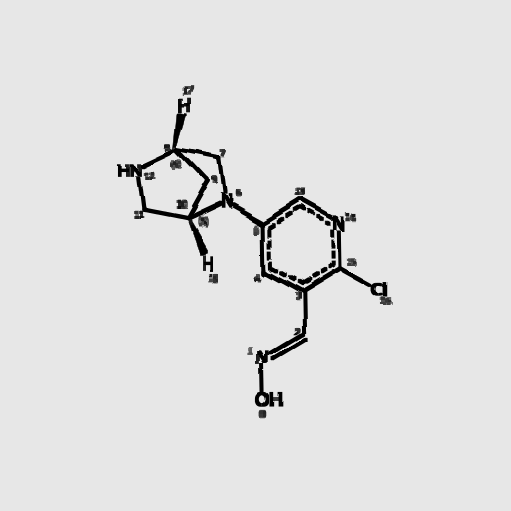 ON=Cc1cc(N2C[C@@H]3C[C@H]2CN3)cnc1Cl